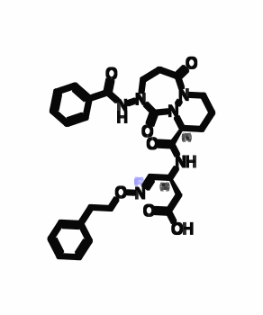 O=C(O)C[C@@H](/C=N/OCCc1ccccc1)NC(=O)[C@@H]1CCCN2C(=O)CCN(NC(=O)c3ccccc3)C(=O)N12